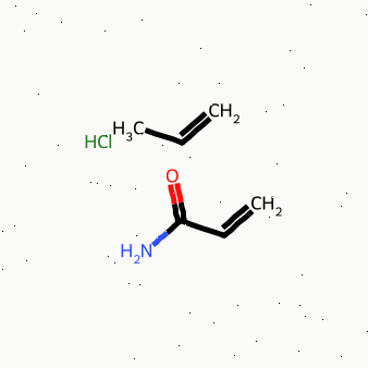 C=CC.C=CC(N)=O.Cl